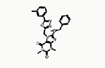 Cc1cccc(-c2nnc(Cn3c(NCc4ccccc4)nc4c3c(=O)n(C)c(=O)n4C)o2)c1